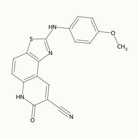 COc1ccc(Nc2nc3c(ccc4[nH]c(=O)c(C#N)cc43)s2)cc1